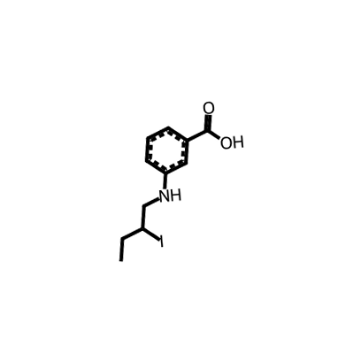 CCC(I)CNc1cccc(C(=O)O)c1